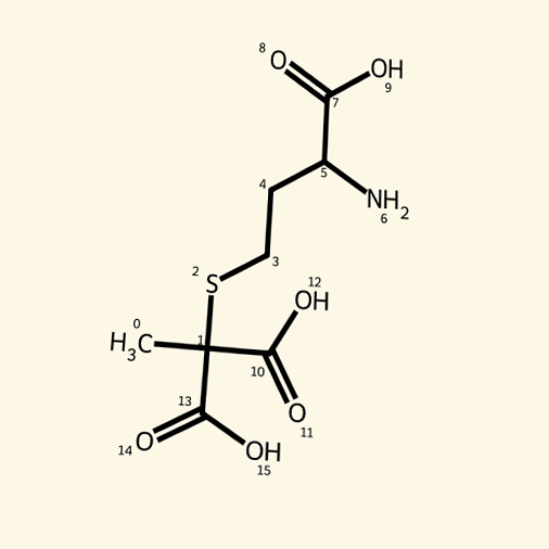 CC(SCCC(N)C(=O)O)(C(=O)O)C(=O)O